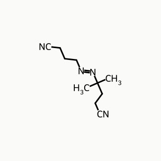 CC(C)(CCC#N)N=NCCCC#N